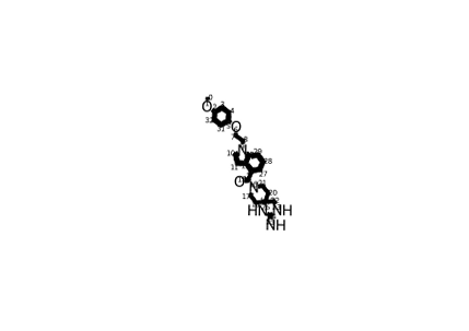 COc1ccc(OCCn2ccc3c(C(=O)N4CCC5(CC4)CNC(=N)N5)cccc32)cc1